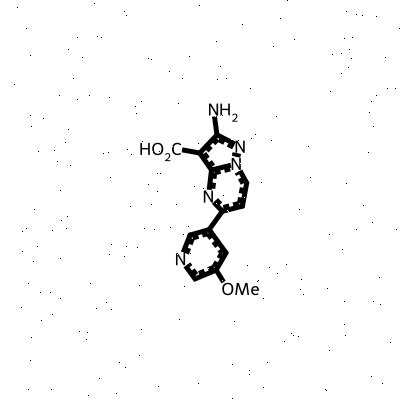 COc1cncc(-c2ccn3nc(N)c(C(=O)O)c3n2)c1